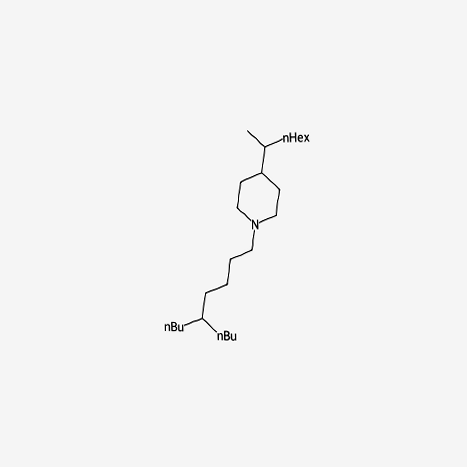 CCCCCCC(C)C1CCN(CCCCC(CCCC)CCCC)CC1